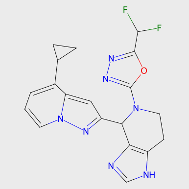 FC(F)c1nnc(N2CCc3[nH]cnc3C2c2cc3c(C4CC4)cccn3n2)o1